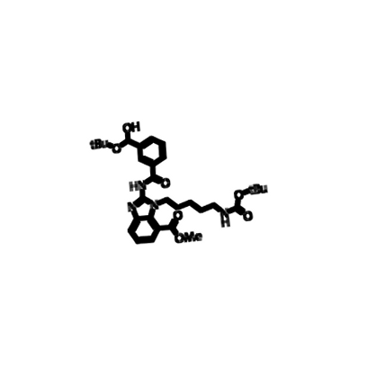 COC(=O)c1cccc2nc(NC(=O)c3cccc(C(O)OC(C)(C)C)c3)n(CCCCCNC(=O)OC(C)(C)C)c12